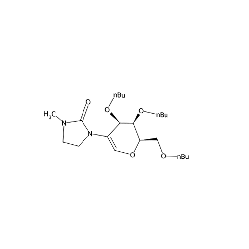 CCCCOC[C@H]1OC=C(N2CCN(C)C2=O)[C@@H](OCCCC)[C@H]1OCCCC